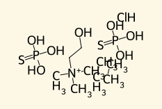 CC.CC.C[N+](C)(C)CCO.Cl.OP(O)(O)=S.OP(O)(O)=S